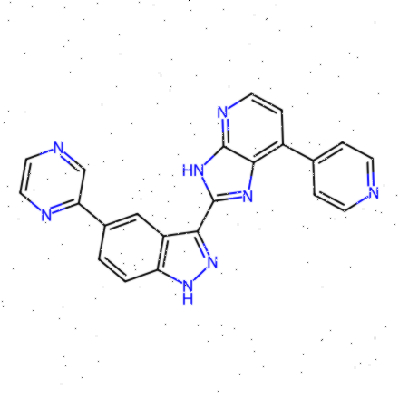 c1cc(-c2ccnc3[nH]c(-c4n[nH]c5ccc(-c6cnccn6)cc45)nc23)ccn1